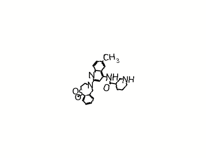 Cc1ccc2nc(N3CCS(=O)(=O)c4ccccc4C3)cc(NC(=O)C3CCCNC3)c2c1